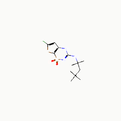 CC(C)(C)CC(C)(C)NC1=NS(=O)(=O)c2sc(Cl)cc2N1